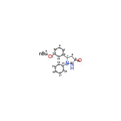 CCCCOc1cccc(C2CC(=O)NN2c2ccccc2)c1